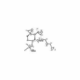 CO[C@@H]1C(O[Si](C)(C)C(C)(C)C)CC[C@]2(CO2)[C@H]1[C@@]1(C)O[C@@H]1CCOCC(F)(F)F